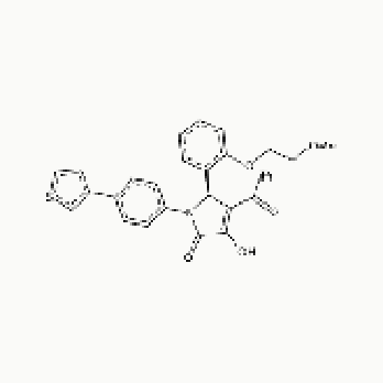 COCCOc1ccccc1[C@H]1C(C(=O)C(C)C)=C(O)C(=O)N1c1ccc(-c2ccsc2)cc1